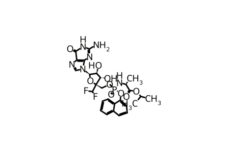 CC(C)OC(=O)[C@H](C)NP(=O)(OC[C@@]1(C(F)F)O[C@@H](n2cnc3c(=O)[nH]c(N)nc32)[C@@H](O)[C@@H]1O)Oc1cccc2ccccc12